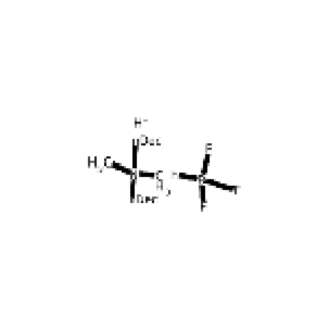 CCCCCCCCCC[N+](C)(C)CCCCCCCCCC.F[B-](F)(F)F.[H+]